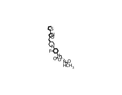 CC(=O)NC[C@H]1CN(c2ccc(N3CCC(=Cc4cc(-c5cccs5)no4)CC3)c(F)c2)C(=O)O1